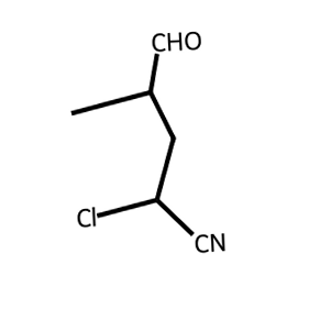 CC(C=O)CC(Cl)C#N